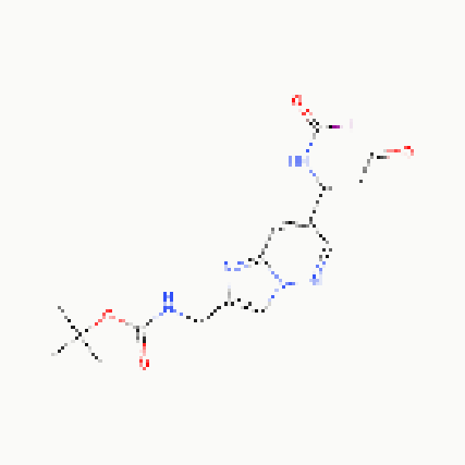 CC(C)(C)OC(=O)NCc1cn2ncc([C@@H](CC=O)NC(=O)I)cc2n1